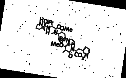 CCC(C)C(C(CC(=O)N1CCC[C@H]1C(OC)C(C)C(=O)NC(Cc1ccccc1)C(=O)O)OC)N(C)C(=O)C(NC(=O)[C@]1(C)CCCN1)C(C)C